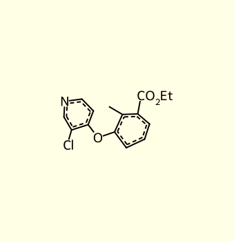 CCOC(=O)c1cccc(Oc2ccncc2Cl)c1C